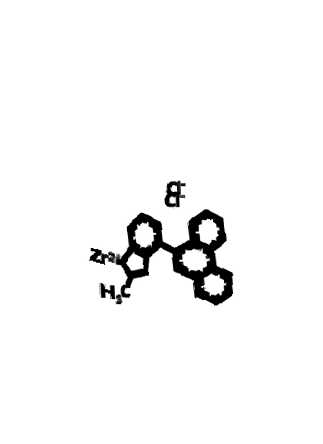 CC1=Cc2c(-c3cc4ccccc4c4ccccc34)cccc2[CH]1[Zr+2].[Cl-].[Cl-]